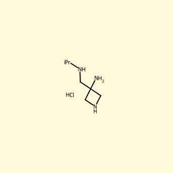 CC(C)NCC1(N)CNC1.Cl